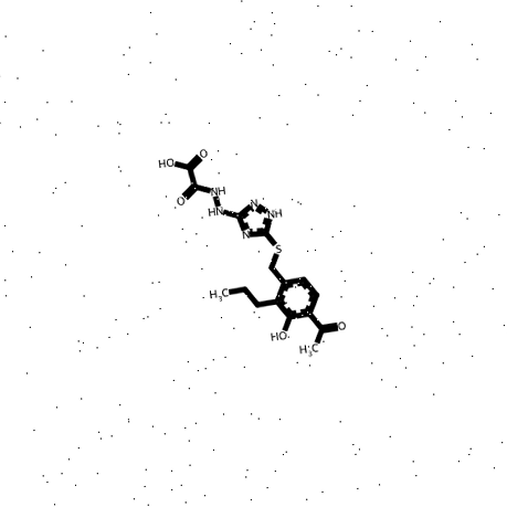 CCCc1c(CSc2nc(NNC(=O)C(=O)O)n[nH]2)ccc(C(C)=O)c1O